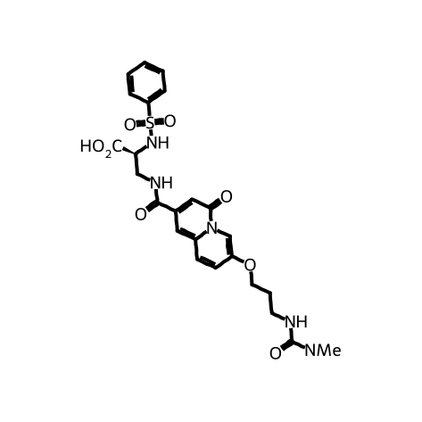 CNC(=O)NCCCOc1ccc2cc(C(=O)NC[C@H](NS(=O)(=O)c3ccccc3)C(=O)O)cc(=O)n2c1